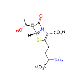 CC(O)[C@H]1C(=O)N2C(C(=O)O)=C(CCC(N)C(=O)O)S[C@H]12